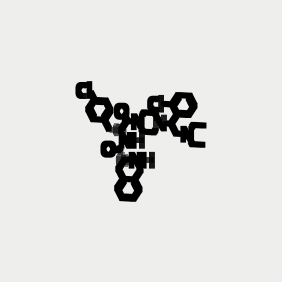 CCN(CC)CC(c1ccccc1Cl)N1CCN(C(=O)[C@@H](Cc2ccc(Cl)cc2)NC(=O)[C@H]2Cc3ccccc3CN2)CC1